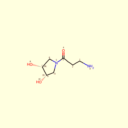 NCCC(=O)N1C[C@@H](O)[C@@H](O)C1